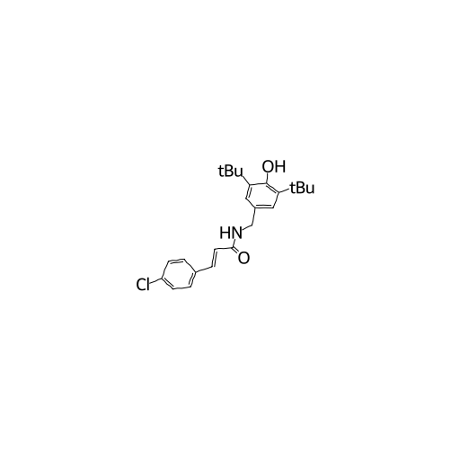 CC(C)(C)c1cc(CNC(=O)C=Cc2ccc(Cl)cc2)cc(C(C)(C)C)c1O